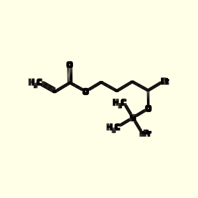 C=CC(=O)OCCCC(CC)O[Si](C)(C)CCC